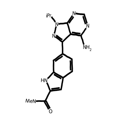 CNC(=O)c1cc2ccc(-c3nn(C(C)C)c4ncnc(N)c34)cc2[nH]1